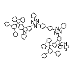 CC1(C)c2ccc(-c3nc(-c4ccccc4)nc(-c4ccc(-c5ccc(-c6nc(-c7ccccc7)nc(-c7ccc8c(c7)c7cc(C9(c%10cc(-c%11ccccc%11)cc(-c%11ccccc%11)c%10)c%10ccccc%10-c%10ccccc%109)ccc7n8-c7ccccc7)n6)cc5)cc4)n3)cc2-c2cc(C3(c4cc(-c5ccccc5)cc(-c5ccccc5)c4)c4ccccc4-c4ccccc43)ccc21